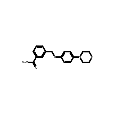 COC(=O)c1cccc(COc2ccc(N3CCOCC3)cc2)c1